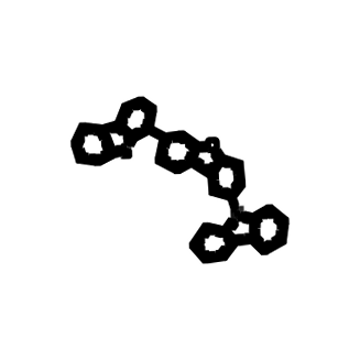 c1ccc2c(c1)sc1c(-c3ccc4c(c3)oc3ccc(-n5c6ccccc6c6ccccc65)cc34)cccc12